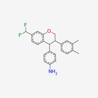 Cc1ccc(C2COc3cc(C(F)F)ccc3C2c2ccc(N)cc2)cc1C